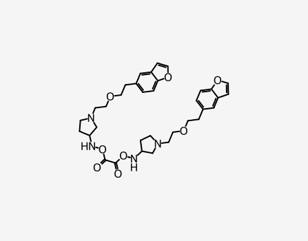 O=C(ONC1CCN(CCOCCc2ccc3occc3c2)C1)C(=O)ONC1CCN(CCOCCc2ccc3occc3c2)C1